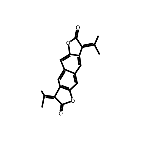 CC(C)=C1C(=O)Oc2cc3cc4c(cc3cc21)OC(=O)C4=C(C)C